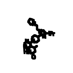 CC(C)c1cn(CCN2CCCC2)c(C2CCN(c3ncnc4c3C(C)CC(=O)N4)CC2)n1